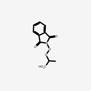 CC(OON1C(=O)c2ccccc2C1=O)C(=O)O